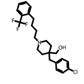 OCC1(Cc2ccc(Cl)cc2)CCN(CCCCc2ccccc2C(F)(F)F)CC1